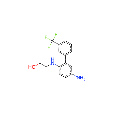 Nc1ccc(NCCO)c(-c2cccc(C(F)(F)F)c2)c1